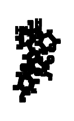 COC(=O)c1cc(C2=NC(C)(NC3CCOCC3)NC=C2)cn1S(=O)(=O)c1ccc(C)cc1